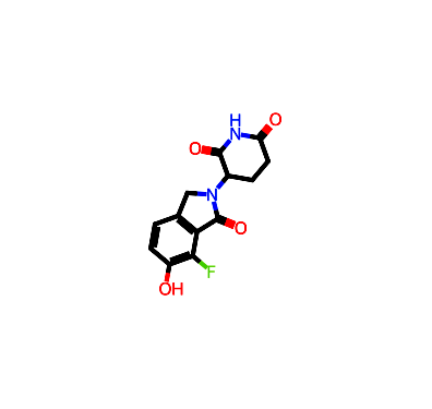 O=C1CCC(N2Cc3ccc(O)c(F)c3C2=O)C(=O)N1